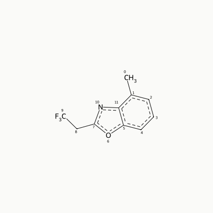 Cc1cccc2oc(CC(F)(F)F)nc12